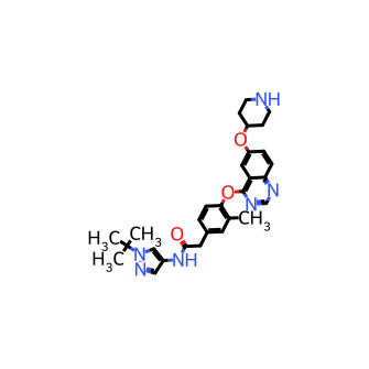 Cc1cc(CC(=O)Nc2cnn(C(C)(C)C)c2)ccc1Oc1ncnc2ccc(OC3CCNCC3)cc12